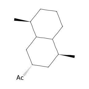 CC(=O)[C@@H]1CC2C(CCC[C@@H]2C)[C@@H](C)C1